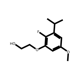 COc1cc(OCCO)c(F)c(C(C)C)c1